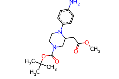 COC(=O)CC1CN(C(=O)OC(C)(C)C)CCN1c1ccc(N)cc1